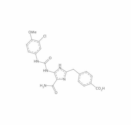 COc1ccc(NC(=O)Nc2[nH]c(Cc3ccc(C(=O)O)cc3)nc2C(N)=O)cc1Cl